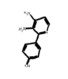 N#Cc1ccc(-c2nccc(N)c2N)cc1